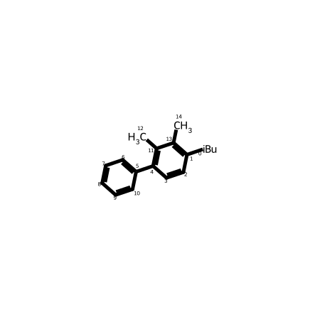 CCC(C)c1ccc(-c2ccccc2)c(C)c1C